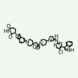 O=C1CCC(n2cc3ccc(N4CCC(O)(CC(=O)N5CCC(N6CC[C@@H](Nc7ncc(Cl)c(-c8c[nH]c9ccccc89)n7)C6)CC5)CC4)cc3c2)C(=O)N1